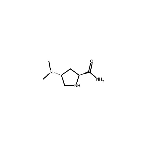 CN(C)[C@H]1CN[C@H](C(N)=O)C1